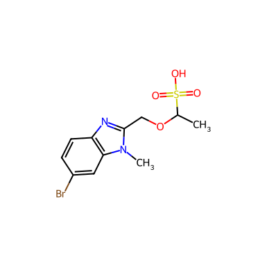 CC(OCc1nc2ccc(Br)cc2n1C)S(=O)(=O)O